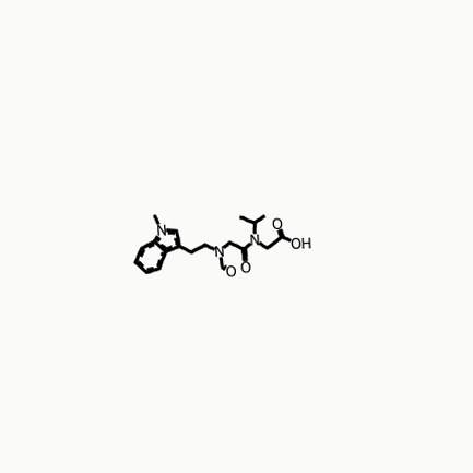 CC(C)N(CC(=O)O)C(=O)CN(C=O)CCc1cn(C)c2ccccc12